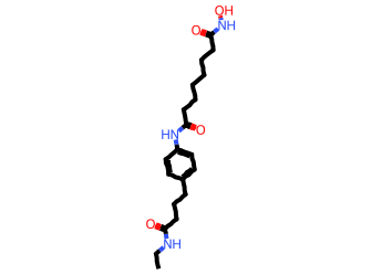 CCNC(=O)CCCc1ccc(NC(=O)CCCCCCC(=O)NO)cc1